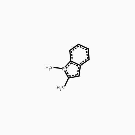 [SiH3]c1cc2ccccc2p1[SiH3]